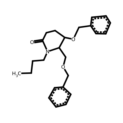 CCCCN1C(=O)CCC(OCc2ccccc2)C1COCc1ccccc1